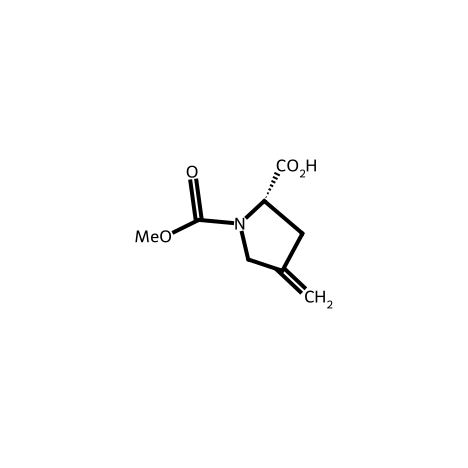 C=C1C[C@@H](C(=O)O)N(C(=O)OC)C1